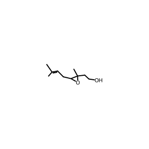 CC(C)=CCC1OC1(C)CCO